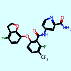 NC(=O)c1cc(NC(=O)c2c(Oc3ccc(F)c4c3OCC4)ccc(C(F)(F)F)c2F)ccn1